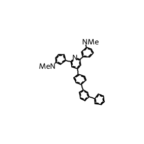 CNc1cccc(-c2cc(-c3ccc(-c4cccc(-c5ccccc5)c4)cc3)cc(-c3cccc(NC)c3)n2)c1